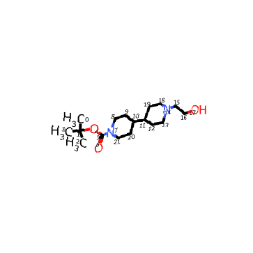 CC(C)(C)OC(=O)N1CCC(C2CCN(CCO)CC2)CC1